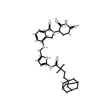 CC(C)(CCC12CC3CC(CC(C3)C1)C2)C(=O)Oc1ccc(CSc2cccc3c2CN(C2CCC(=O)NC2=O)C3=O)o1